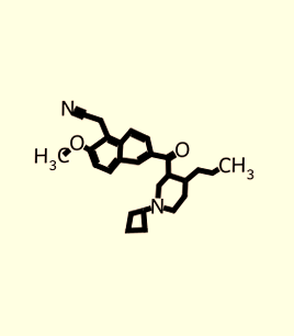 CCCC1CCN(C2CCC2)CC1C(=O)c1ccc2c(CC#N)c(OC)ccc2c1